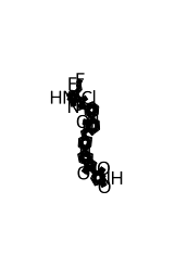 O=C1CCC(N2Cc3cc(N4CCC(CN5CCCN(c6cccc(-c7cnc8[nH]cc(CC(F)F)c8c7Cl)c6)C5=O)CC4)ccc3C2=O)C(=O)N1